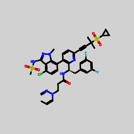 C=NN(/C=C\C)CCC(=O)N[C@@H](Cc1cc(F)cc(F)c1)c1nc(C#CC(C)(C)S(=O)(=O)C2CC2)ccc1-c1ccc(Cl)c2c(NS(C)(=O)=O)nn(C)c12